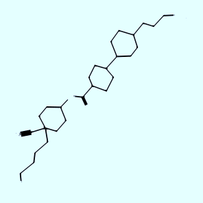 CCCCCC1(C#N)CCC(OC(=O)C2CCC(C3CCC(CCCC)CC3)CC2)CC1